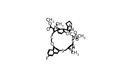 CCOC(=O)c1c2c3ccc(Cl)c(c3n1C)-c1c(nn3c1CCC3)CN(S(C)(=O)=O)Cc1cc(n(C)n1)CSc1cc(c3ccc(F)cc3c1)OCCC2